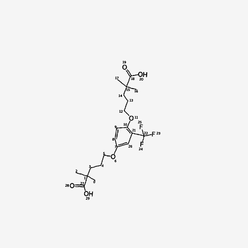 CC(C)(CCCOc1ccc(OCCCC(C)(C)C(=O)O)c(C(F)(F)F)c1)C(=O)O